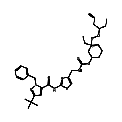 C=CCC(CC)OO[C@]1(CC)CCCC(OC(=O)NCc2csc(NC(=O)c3cc(C(C)(C)C)nn3Cc3ccccc3)n2)C1